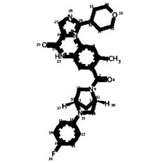 Cc1cc2c(cc1C(=O)N1C[C@@H]3C[C@H]1CN3c1ccc(F)cc1)[nH]c(=O)c1cnc(C3CCOCC3)n12